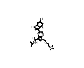 CC(C)NC(=O)c1cn(COCC[Si](C)(C)C)c2ncc(-c3n[nH]c4cc(Cl)cc(F)c34)nc12